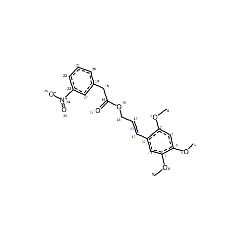 COc1cc(OC)c(OC)cc1/C=C/COC(=O)Cc1cccc([N+](=O)[O-])c1